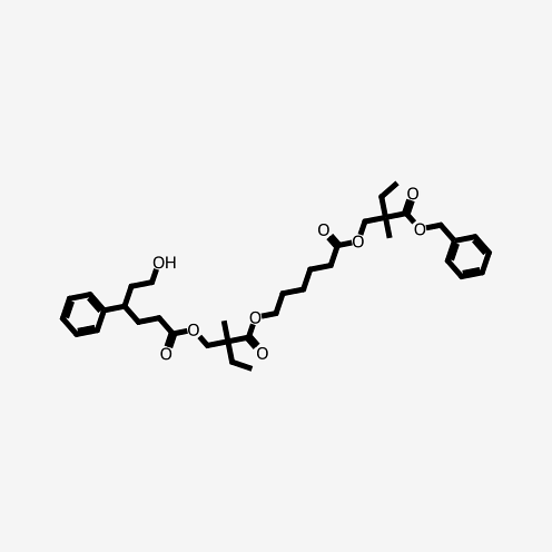 CCC(C)(COC(=O)CCC(CCO)c1ccccc1)C(=O)OCCCCCC(=O)OCC(C)(CC)C(=O)OCc1ccccc1